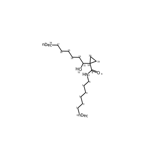 CCCCCCCCCCCCCCCCNC(=O)C1(C(O)CCCCCCCCCCCCCCC)CC1